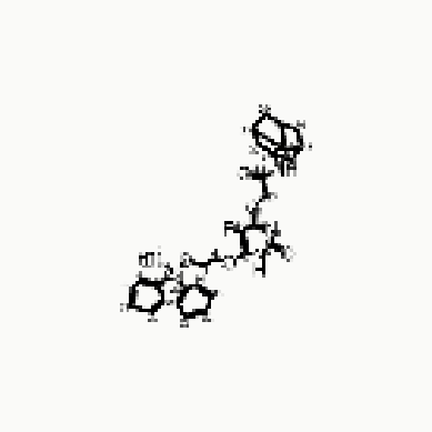 CC(C)(C)[Si](OCCOc1[nH]c(=O)nc(OCC(=O)NC23CC4CC(CC(C4)C2)C3)c1F)(c1ccccc1)c1ccccc1